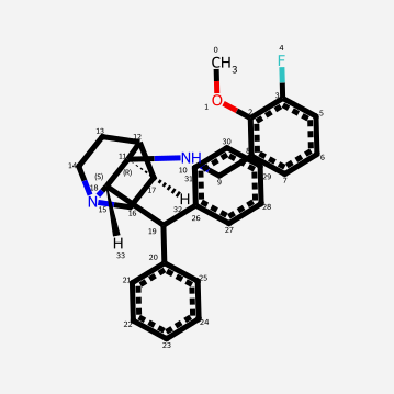 COc1c(F)cccc1CN[C@@H]1C2CCN(CC2)[C@H]1C(c1ccccc1)c1ccccc1